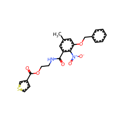 Cc1cc(OCc2ccccc2)c([N+](=O)[O-])c(C(=O)NCCOC(=O)c2ccsc2)c1